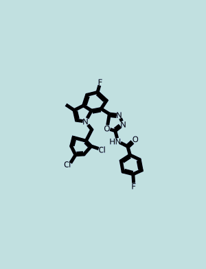 Cc1cn(Cc2ccc(Cl)cc2Cl)c2c(-c3nnc(NC(=O)c4ccc(F)cc4)o3)cc(F)cc12